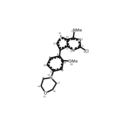 CNc1nc(Cl)nc2c(-c3ccc(N4CCOCC4)cc3OC)csc12